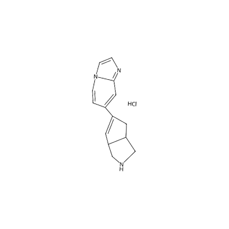 C1=C(c2ccn3ccnc3c2)CC2CNCC12.Cl